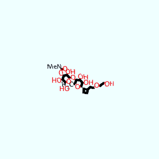 CNC(=O)O[C@H]1[C@H](O)[C@@H](O[C@@H]2C(C)O[C@@H](C3CCC3CCOCCO)[C@@H](O)[C@@H]2O)O[C@H](CO)[C@H]1O